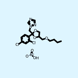 CCCCOCC1COC(Cn2cncn2)(c2ccc(Cl)cc2Cl)O1.O=[N+]([O-])O